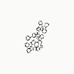 c1ccc(-c2ccc(N(c3ccc4c(c3)C3(c5ccccc5-c5ccccc53)c3ccccc3-4)c3cccc4c3oc3c(-c5cccc6c5-c5ccccc5C6(c5ccccc5)c5ccccc5)c5c(cc34)oc3ccccc35)cc2)cc1